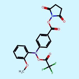 COc1ccccc1[I+](OC(=O)C(F)(F)F)c1ccc(C(=O)ON2C(=O)CCC2=O)cc1